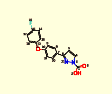 O=C(O)n1ccc(-c2ccc(Oc3ccc(F)cc3)cc2)n1